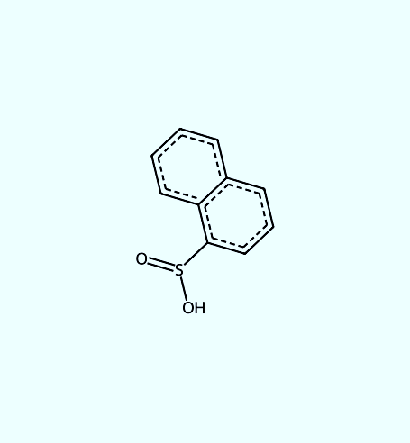 O=S(O)c1cccc2ccccc12